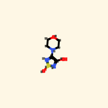 [O-][s+]1nc(O)c(N2CCOCC2)n1